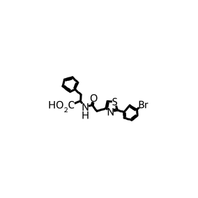 O=C(Cc1csc(-c2cccc(Br)c2)n1)NC(Cc1ccccc1)C(=O)O